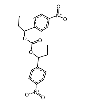 CCC(OC(=O)OC(CC)c1ccc([N+](=O)[O-])cc1)c1ccc([N+](=O)[O-])cc1